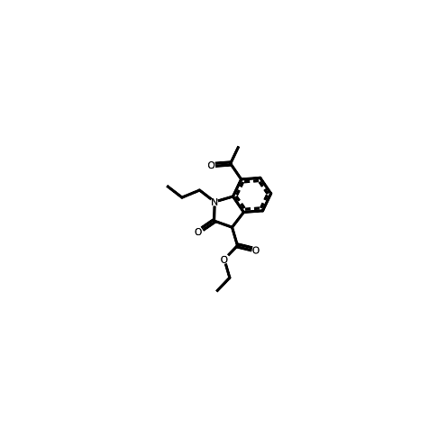 CCCN1C(=O)C(C(=O)OCC)c2cccc(C(C)=O)c21